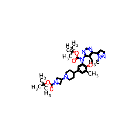 Cc1cc(C2CCN(C3CN(C(=O)OC(C)(C)C)C3)CC2)cc2c1OCc1c(-c3ccnn3C)ncnc1N2C(=O)OC(C)(C)C